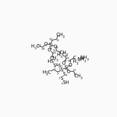 CCCS(SSS)(SSS)[Si](OCC)(OCC)OCC.CCC[Si](OCC)(OCC)OCC.N.N